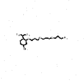 CCCCOCCCOCCCOC1CC(C)CCC1C(C)C